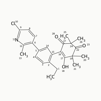 CCc1ccc(-c2ccc(Cl)nc2C)cc1C1=C(O)C(C)(C)C(=O)C(C)(C)C1=O